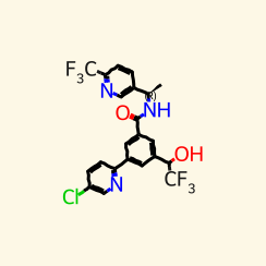 C[C@@H](NC(=O)c1cc(-c2ccc(Cl)cn2)cc(C(O)C(F)(F)F)c1)c1ccc(C(F)(F)F)nc1